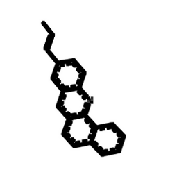 CC=Cc1ccc2nc3c(ccc4ccccc43)cc2c1